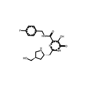 O=C(NCc1ccc(F)cc1)c1nc(C[C@@H]2C[C@@H](CO)CN2)[nH]c(=O)c1O